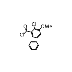 COc1cccc(C(=O)Cl)c1Cl.c1ccccc1